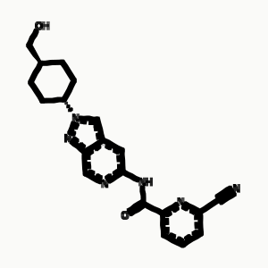 N#Cc1cccc(C(=O)Nc2cc3cn([C@H]4CC[C@H](CO)CC4)nc3cn2)n1